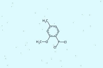 COc1cc(C)ccc1P(Cl)Cl